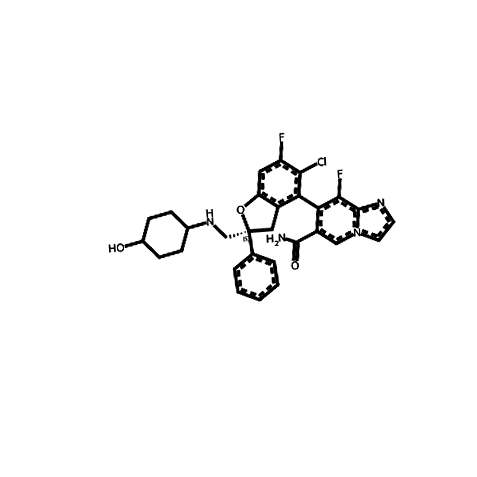 NC(=O)c1cn2ccnc2c(F)c1-c1c(Cl)c(F)cc2c1C[C@@](CNC1CCC(O)CC1)(c1ccccc1)O2